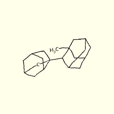 CC12CC3C[C](CC(C3)C1)C2C12CC3CC(CC1C3)C2